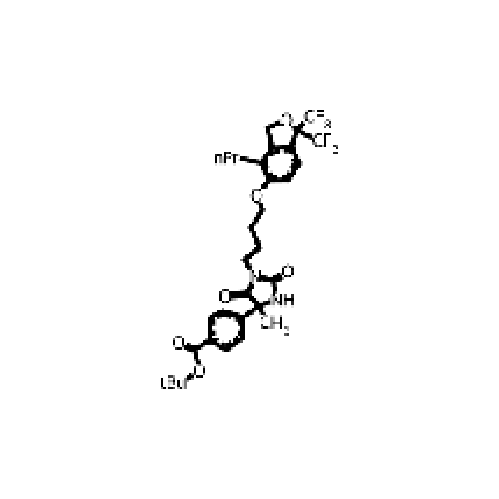 CCCc1c(OCCCCN2C(=O)NC(C)(c3ccc(C(=O)OC(C)(C)C)cc3)C2=O)ccc2c1COC2(C(F)(F)F)C(F)(F)F